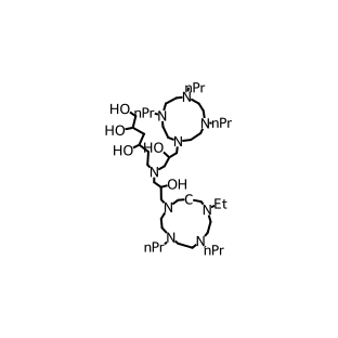 CCCN1CCN(CC)CCCN(CC(O)CN(CCC(O)CC(O)CO)CC(O)CN2CCN(CCC)CCN(CCC)CCN(CCC)CC2)CCN(CCC)CC1